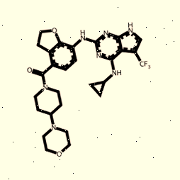 O=C(c1ccc(Nc2nc(NC3CC3)c3c(C(F)(F)F)c[nH]c3n2)c2c1CCO2)N1CCC(N2CCOCC2)CC1